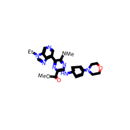 CCn1cnc2c(-c3nc(C(=O)OC)c(Nc4ccc(N5CCOCC5)cc4)nc3NC)cncc21